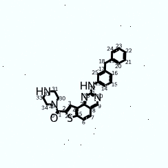 O=C(c1cc2c(ccc3cnc(Nc4cccc(Cc5ccccc5)c4)nc32)s1)N1CCNCC1